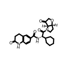 O=C1CCc2cc(C(=O)N[C@H](C(=O)N3CC[C@H]4OCC(=O)[C@H]43)C3CCCCC3)ccc2N1